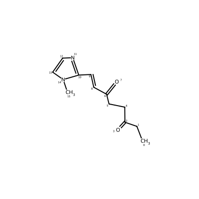 CCC(=O)CCC(=O)/C=C/c1nccn1C